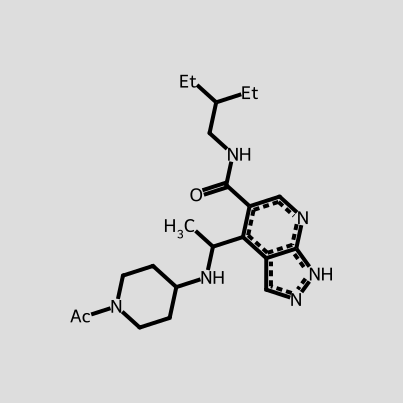 CCC(CC)CNC(=O)c1cnc2[nH]ncc2c1C(C)NC1CCN(C(C)=O)CC1